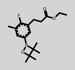 CCOC(=O)CCc1cc(N2OC(C)(C)C2(C)C)cc(C)c1F